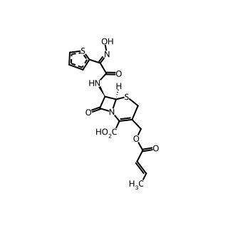 C/C=C/C(=O)OCC1=C(C(=O)O)N2C(=O)[C@@H](NC(=O)/C(=N/O)c3cccs3)[C@H]2SC1